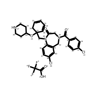 O=C(O)C(F)(F)F.O=C(c1ccc(Cl)cc1)N1CC(=O)N(CC2(OC3CCNCC3)C=CC=CC2)c2ccc(Cl)cc2C1